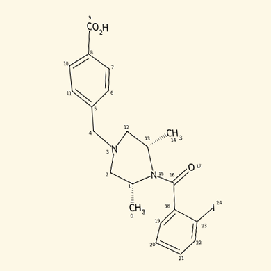 C[C@@H]1CN(Cc2ccc(C(=O)O)cc2)C[C@H](C)N1C(=O)c1ccccc1I